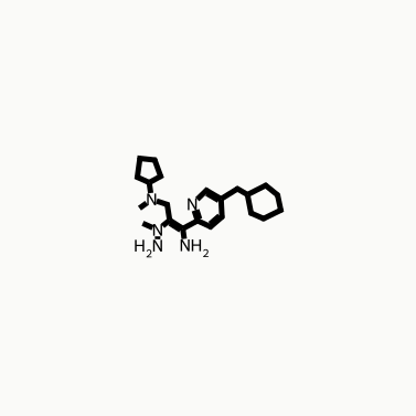 CN(N)/C(CN(C)C1CCCC1)=C(\N)c1ccc(CC2CCCCC2)cn1